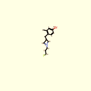 Cc1cc(Br)ccc1CC1CN(CCCF)C1